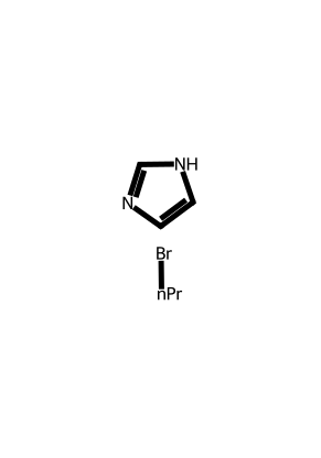 CCCBr.c1c[nH]cn1